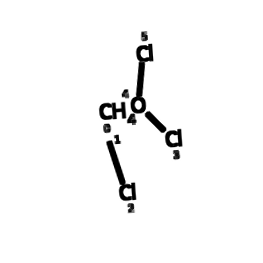 C.CCl.ClOCl